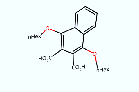 CCCCCCOc1c(C(=O)O)c(C(=O)O)c(OCCCCCC)c2ccccc12